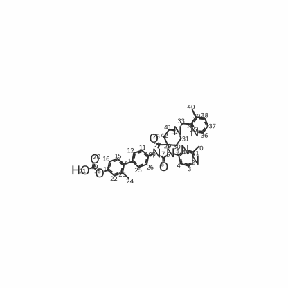 Cc1nccc(N2C(=O)N(c3ccc(-c4ccc(OC(=O)O)cc4C)cc3)C(=O)C23CCN(Cc2ncccc2C)CC3)n1